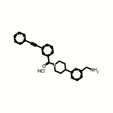 Cl.NCc1cccc(C2CCN(C(=O)c3cccc(C#Cc4ccccc4)c3)CC2)c1